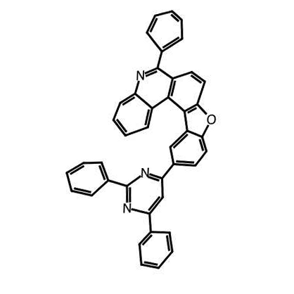 c1ccc(-c2cc(-c3ccc4oc5ccc6c(-c7ccccc7)nc7ccccc7c6c5c4c3)nc(-c3ccccc3)n2)cc1